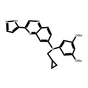 COc1cc(OC)cc(N(CC2CC2)c2ccc3ncc(-c4ccn[nH]4)nc3c2)c1